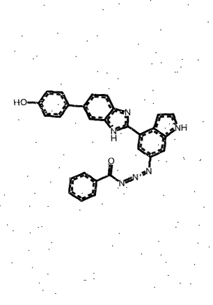 O=C(N=[N+]=Nc1cc(-c2nc3ccc(-c4ccc(O)cc4)cc3[nH]2)c2cc[nH]c2c1)c1ccccc1